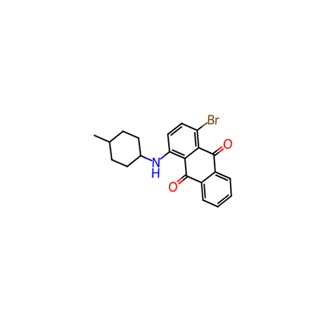 CC1CCC(Nc2ccc(Br)c3c2C(=O)c2ccccc2C3=O)CC1